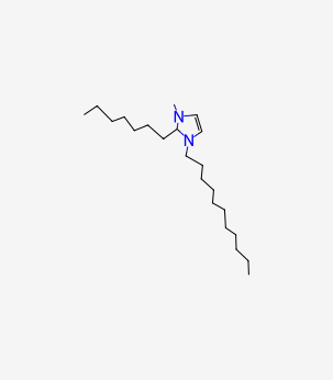 CCCCCCCCCCCN1C=CN(C)C1CCCCCCC